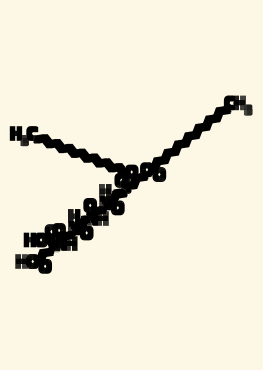 CCCCCCCCCCCCCCCC(=O)OCC(CSC=CC(=O)NCC(=O)NCC(=O)NCC(=O)N[C@@H](CCC(=O)O)C(=O)O)OC(=O)CCCCCCCCCCCCCCC